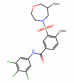 COc1ccc(C(=O)Nc2cc(F)c(F)c(F)c2)cc1S(=O)(=O)N1CCOCC(OC)C1